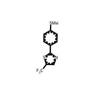 CSc1ccc(-c2ncc(C(F)(F)F)s2)cc1